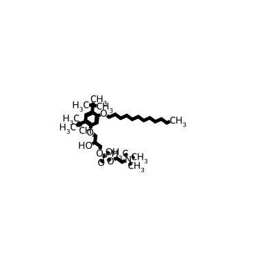 CCCCCCCCCCCCOc1cc(OCC(O)COP(=O)(O)OCC[N+](C)(C)C)c(C(C)(C)C)cc1C(C)(C)C